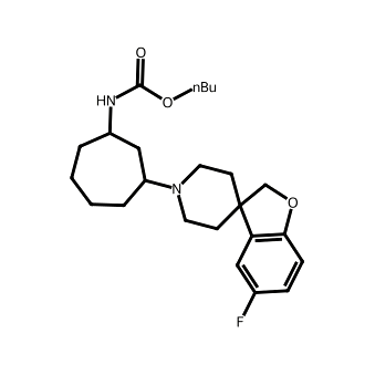 CCCCOC(=O)NC1CCCCC(N2CCC3(CC2)COc2ccc(F)cc23)C1